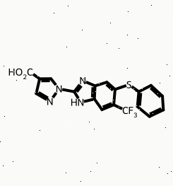 O=C(O)c1cnn(-c2nc3cc(Sc4ccccc4)c(C(F)(F)F)cc3[nH]2)c1